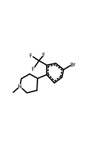 CN1CCC(c2ccc(Br)cc2C(F)(F)F)CC1